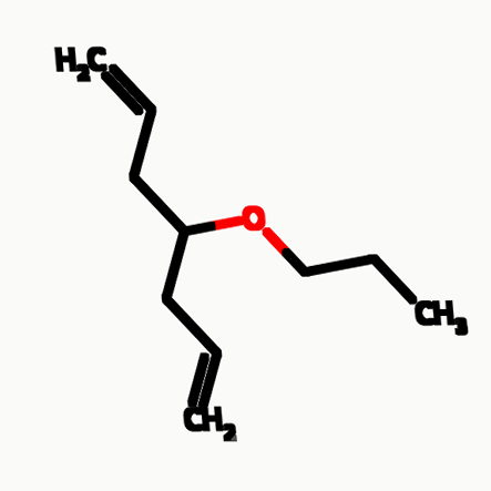 C=CCC(CC=C)OCCC